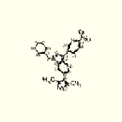 Cc1noc(C)c1-c1cnc2c(-c3ccc([N+](=O)[O-])nc3)cn(CC3CCCCC3)c2c1